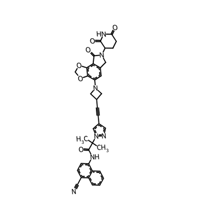 CC(C)(C(=O)Nc1ccc(C#N)c2ccccc12)n1cc(C#CC2CN(c3cc4c(c5c3OCO5)C(=O)N(C3CCC(=O)NC3=O)C4)C2)cn1